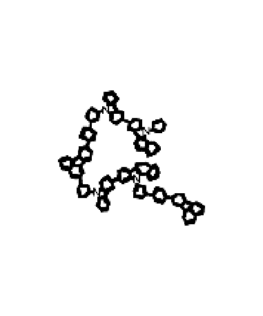 c1ccc(-n2c3ccc(-c4ccc5c(c4)c4ccccc4n5-c4cccc(-c5ccc(-c6ccc7c(c6)-c6cccc8cc(-c9cccc(-n%10c%11ccccc%11c%11cc(-c%12ccc%13c%14ccc%15ccccc%15c%14n(-c%14cccc(-c%15ccc(-c%16ccc%17c(c%16)-c%16cccc%18cccc-%17c%16%18)cc%15)c%14)c%13c%12)ccc%11%10)c9)cc-7c68)cc5)c4)cc3c3ccc4ccccc4c32)cc1